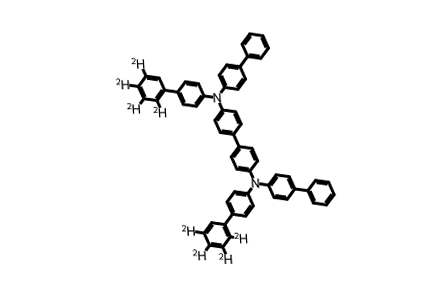 [2H]c1cc(-c2ccc(N(c3ccc(-c4ccccc4)cc3)c3ccc(-c4ccc(N(c5ccc(-c6ccccc6)cc5)c5ccc(-c6cc([2H])c([2H])c([2H])c6[2H])cc5)cc4)cc3)cc2)c([2H])c([2H])c1[2H]